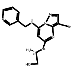 N[C@@H](CO)Nc1cc(NCc2cccnc2)n2ncc(Br)c2n1